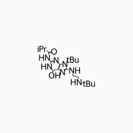 CC(C)C(=O)NC1=Nc2c(nc(NCCNC(C)(C)C)n2C(C)(C)C)C(O)N1